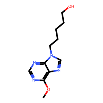 COc1ncnc2c1ncn2CCCCCO